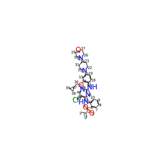 CC(C)S(=O)(=O)c1ccccc1Nc1nc(Nc2ccc(N3CCC(N4CCOCC4)CC3)cc2OCC2CC2)ncc1Cl